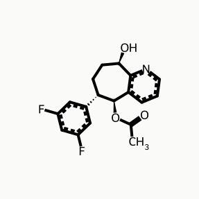 CC(=O)O[C@@H]1c2cccnc2[C@H](O)CC[C@H]1c1cc(F)cc(F)c1